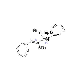 CCCCCCCC(=N\c1ccccc1)/C(CCCC)=N/c1ccccc1.[Ni]